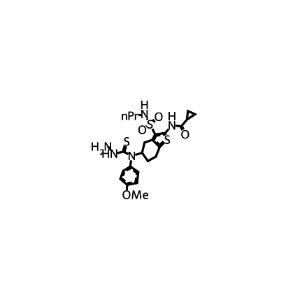 CCCNS(=O)(=O)c1c(NC(=O)C2CC2)sc2c1CC(N(C(=S)NN)c1ccc(OC)cc1)CC2